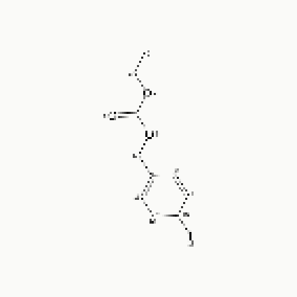 CCOC(=O)OCc1ccc(I)cc1